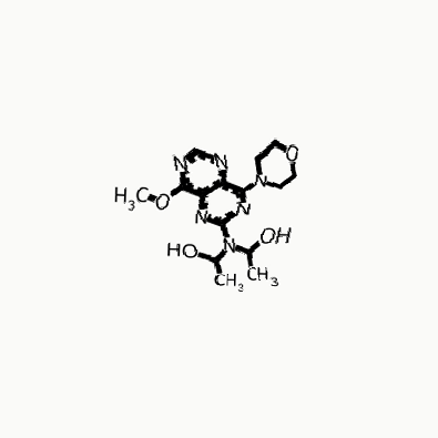 COc1ncnc2c(N3CCOCC3)nc(N(C(C)O)C(C)O)nc12